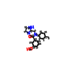 Cc1ccc(N(CC2=NCCN2)C(=O)c2cccc(O)c2)cc1